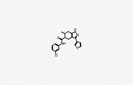 CC1Cc2[nH]nc(-c3ccsc3)c2CN1C(=O)Nc1cccc(Cl)c1